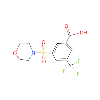 O=C(O)c1cc(C(F)(F)F)cc(S(=O)(=O)N2CCOCC2)c1